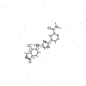 CN(C)C(=O)c1cccc(-c2nsc(Nc3ccc4[nH]ncc4c3Cl)n2)c1